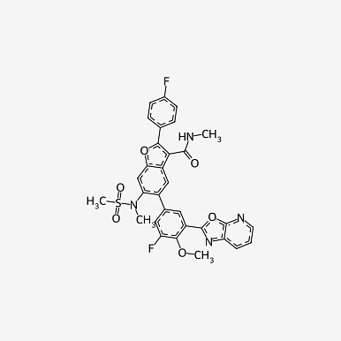 CNC(=O)c1c(-c2ccc(F)cc2)oc2cc(N(C)S(C)(=O)=O)c(-c3cc(F)c(OC)c(-c4nc5cccnc5o4)c3)cc12